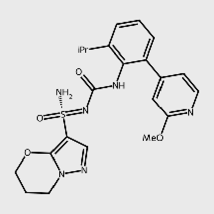 COc1cc(-c2cccc(C(C)C)c2NC(=O)N=[S@](N)(=O)c2cnn3c2OCCC3)ccn1